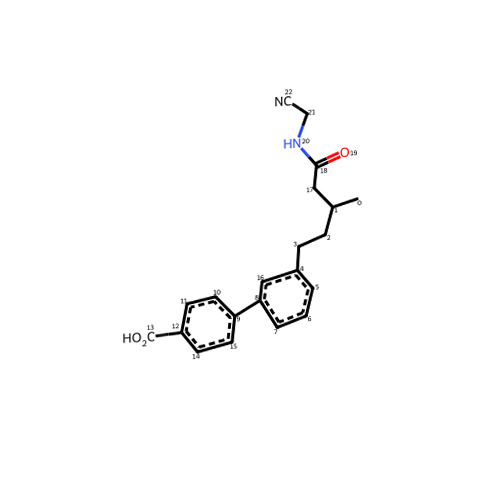 CC(CCc1cccc(-c2ccc(C(=O)O)cc2)c1)CC(=O)NCC#N